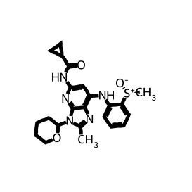 Cc1nc2c(Nc3ccccc3[S@+](C)[O-])cc(NC(=O)C3CC3)nc2n1C1CCCCO1